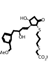 COCc1cccc(C[C@H](O)C=C[C@H]2[C@H](O)CC(=O)[C@@H]2SCCCSCC(=O)O)c1